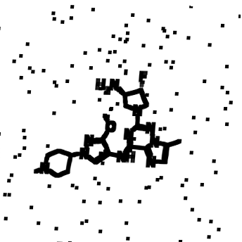 COc1nn(C2CCN(C)CC2)cc1Nc1nc(N2C[C@@H](N)[C@H](F)C2)nn2c(C)cnc12